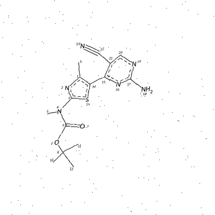 Cc1nc(N(C)C(=O)OC(C)(C)C)sc1-c1nc(N)ncc1C#N